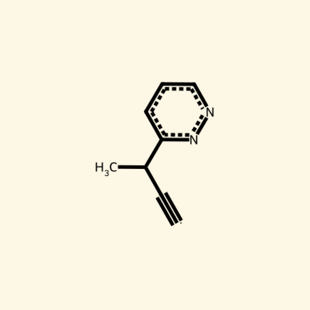 [C]#CC(C)c1cccnn1